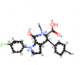 Cc1ccc(-c2c(C(=O)O)n(C)c(=O)c3c2ccn3-c2ccc(F)cc2)cc1